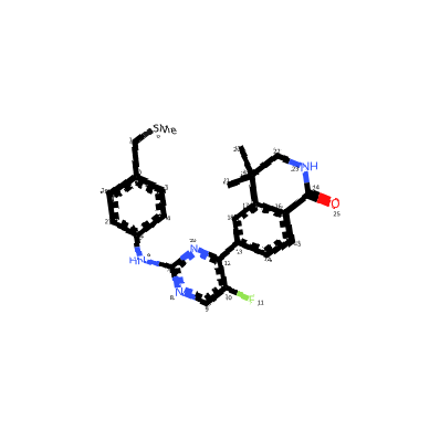 CSCc1ccc(Nc2ncc(F)c(-c3ccc4c(c3)C(C)(C)CNC4=O)n2)cc1